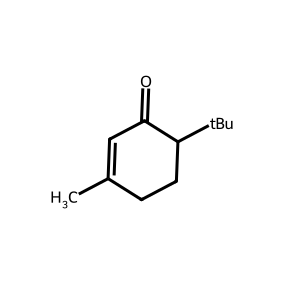 CC1=CC(=O)C(C(C)(C)C)CC1